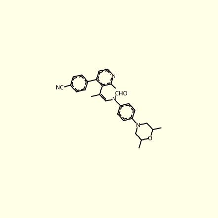 C/C(=C/N(C=O)c1ccc(N2CC(C)OC(C)C2)cc1)c1c(-c2ccc(C#N)cc2)ccnc1C